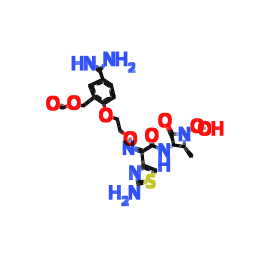 C[C@H]1[C@H](NC(=O)/C(=N\OCCOc2ccc(C(=N)N)cc2COC=O)c2csc(N)n2)C(=O)N1OO